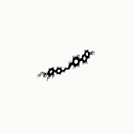 CCCOc1ccc(C2CCC(CC/C=C/C3CCC(C4CCC5CC(CCC)CCC5C4)CC3)CC2)c(F)c1F